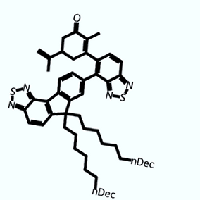 C=C(C)C1CC(=O)C(C)=C(c2ccc3nsnc3c2-c2ccc3c(c2)C(CCCCCCCCCCCCCCCC)(CCCCCCCCCCCCCCCC)c2ccc4nsnc4c2-3)C1